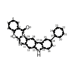 O=c1c2ccccc2oc2nc3cc4[nH]c5ccc(-c6ccccc6)cc5c4cc3n12